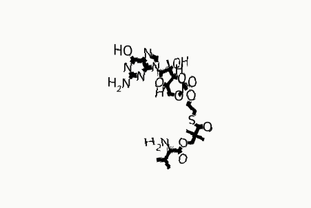 CC(C)[C@H](N)C(=O)OCC(C)(C)C(=O)SCCOP1(=O)OC[C@H]2O[C@@H](n3cnc4c(O)nc(N)nc43)[C@](C)(O)[C@@H]2O1